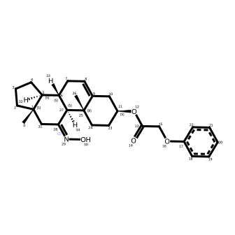 C[C@@]12CCC[C@H]1[C@@H]1CC=C3C[C@@H](OC(=O)COc4ccccc4)CC[C@]3(C)[C@H]1/C(=N\O)C2